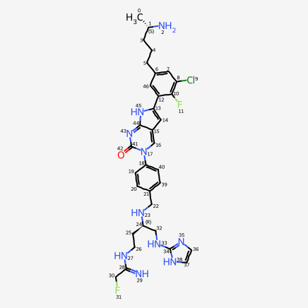 C[C@H](N)CCCc1cc(Cl)c(F)c(-c2cc3cn(-c4ccc(CN[C@H](CCNC(=N)CF)CNc5ncc[nH]5)cc4)c(=O)nc3[nH]2)c1